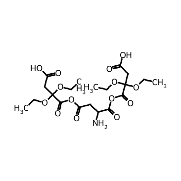 CCOC(CC(=O)O)(OCC)C(=O)OC(=O)CC(N)C(=O)OC(=O)C(CC(=O)O)(OCC)OCC